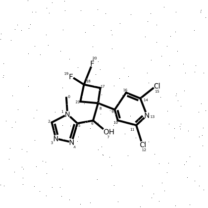 Cn1cnnc1C(O)C1(c2cc(Cl)nc(Cl)c2)CC(F)(F)C1